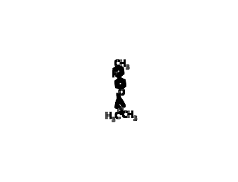 Cc1ccc(-c2ccc(OCC3C4CN(C(C)C)CC34)cc2)nc1